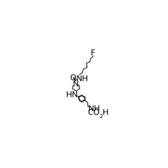 O=C(O)NCCc1ccc(NC2CCN(C(=O)NCCCCCCCCF)CC2)cc1